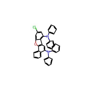 Clc1cc(N(c2ccccc2)c2ccccc2)c2c(c1)oc1c3ccccc3c(N(c3ccccc3)c3ccccc3)cc12